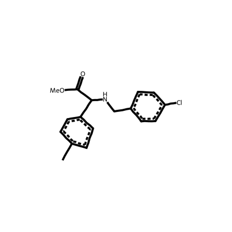 COC(=O)C(NCc1ccc(Cl)cc1)c1ccc(C)cc1